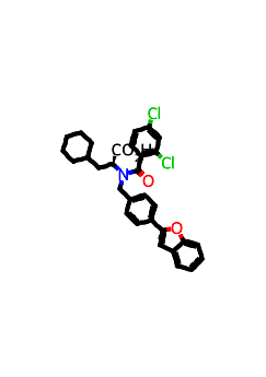 O=C(O)[C@H](CC1CCCCC1)N(Cc1ccc(-c2cc3ccccc3o2)cc1)C(=O)c1ccc(Cl)cc1Cl